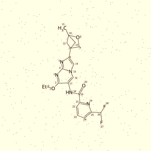 CCOc1nc2nc(C34COC(C)(C3)C4)cn2cc1NC(=O)c1cccc(C(F)F)n1